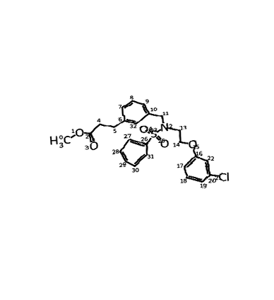 COC(=O)CCc1cccc(CN(CCOc2cccc(Cl)c2)S(=O)(=O)c2ccccc2)c1